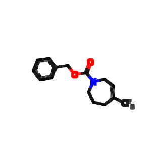 O=C(OCc1ccccc1)N1CC=C(C(F)(F)F)CCC1